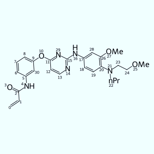 C=CC(=O)Nc1cccc(Oc2ccnc(Nc3ccc(N(CCC)CCOC)c(OC)c3)n2)c1